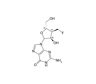 Nc1nc2c(ncn2C2O[C@H](CO)[C@@H](CF)[C@H]2O)c(=O)[nH]1